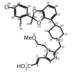 COCCn1c(C=CC(=O)O)cnc1CN1CCC(c2cccc3c2OC(C)(c2ccc(Cl)cc2F)O3)CC1